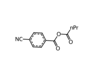 CCCC(=O)OC(=O)c1ccc(C#N)cc1